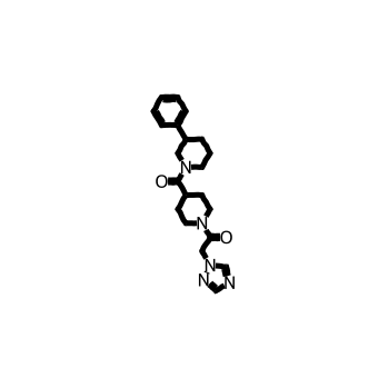 O=C(Cn1cncn1)N1CCC(C(=O)N2CCCC(c3ccccc3)C2)CC1